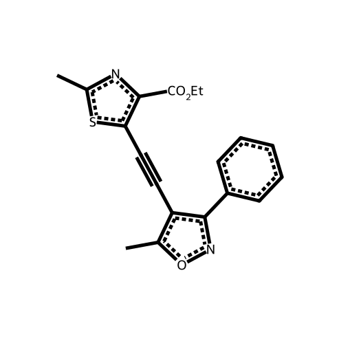 CCOC(=O)c1nc(C)sc1C#Cc1c(-c2ccccc2)noc1C